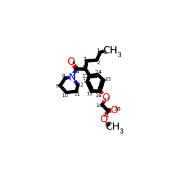 CCCCC(C(=O)N1CCCCC1)c1ccc(OCC(=O)OC)cc1